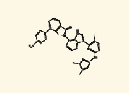 Cc1cnc(Nc2cc(C)n(C)n2)nc1-c1c[nH]c2c(N3Cc4c(cccc4-c4ccc(N)nc4)C3=O)cccc12